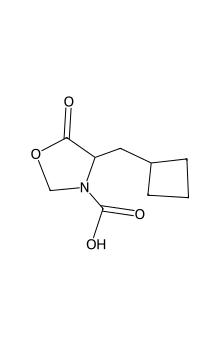 O=C1OCN(C(=O)O)C1CC1CCC1